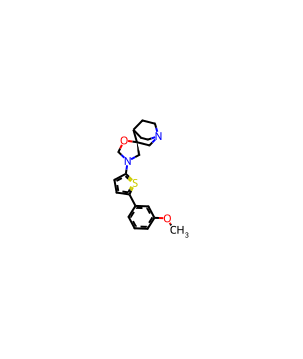 COc1cccc(-c2ccc(N3CO[C@]4(CN5CCC4CC5)C3)s2)c1